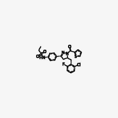 CCS(=O)(=O)Nc1ccc(C2=NN(C(=O)c3cccs3)C(Cc3c(F)cccc3Cl)C2)cc1